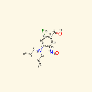 C=CCN(CC=C)c1cc(F)c(C=O)cc1N=O